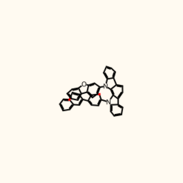 C1=C(c2ccc3ccccc3c2)CCC(n2c3ccccc3c3ccc4c5ccccc5n(-c5ccc6c(c5)oc5ccccc56)c4c32)=C1